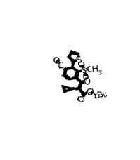 CC(C)(C)OC(=O)C(C(=O)C1=C(S(C)(=O)=O)C(c2cccs2)C(=C=O)C=C1)C1CC1